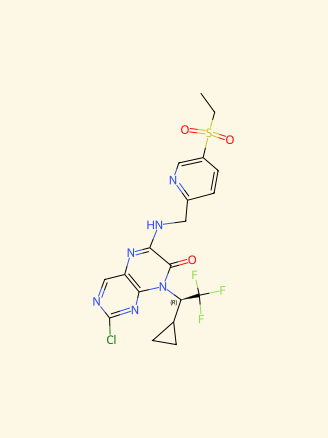 CCS(=O)(=O)c1ccc(CNc2nc3cnc(Cl)nc3n([C@H](C3CC3)C(F)(F)F)c2=O)nc1